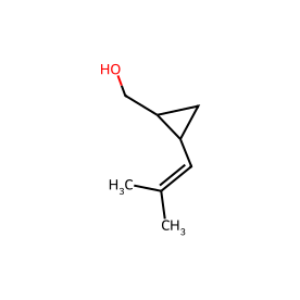 CC(C)=CC1CC1CO